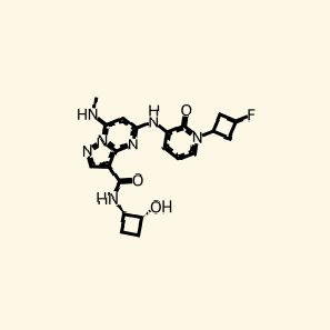 CNc1cc(Nc2cccn(C3CC(F)C3)c2=O)nc2c(C(=O)N[C@@H]3CC[C@H]3O)cnn12